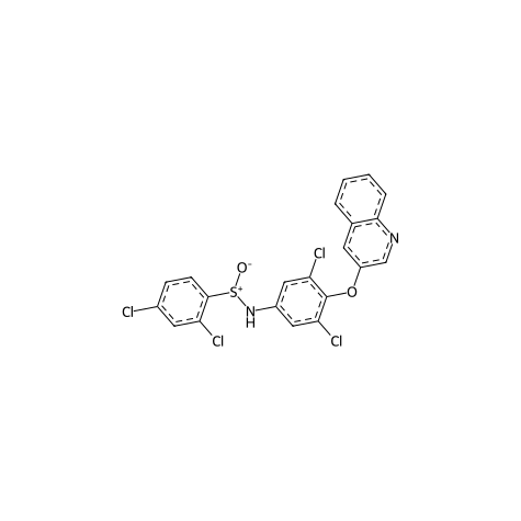 [O-][S+](Nc1cc(Cl)c(Oc2cnc3ccccc3c2)c(Cl)c1)c1ccc(Cl)cc1Cl